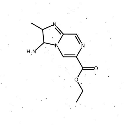 CCOC(=O)C1=CN2C(=NC(C)C2N)C=N1